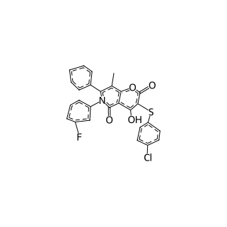 Cc1c(-c2ccccc2)n(-c2cccc(F)c2)c(=O)c2c(O)c(Sc3ccc(Cl)cc3)c(=O)oc12